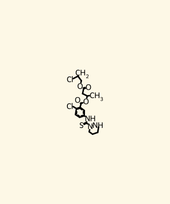 C=C(Cl)COC(=O)CC(C)OC(=O)c1cc(NC(=S)N2CCCCN2)ccc1Cl